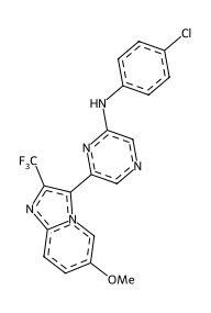 COc1ccc2nc(C(F)(F)F)c(-c3cncc(Nc4ccc(Cl)cc4)n3)n2c1